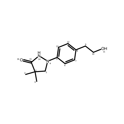 CC1(C)CN(c2ccc(CCO)cc2)NC1=O